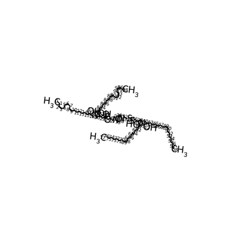 CC/C=C\C/C=C\C/C=C\CCCCCC[C@@H](O)CN(CCCC(=O)OCCN1CCN(CCSSCCCN(C[C@@H](O)CCCCCC/C=C\CCCCCCCC)C[C@@H](O)CCCCCC/C=C\CCCCCCCC)CC1)C[C@H](O)CCCCCC/C=C\C/C=C\C/C=C\CC